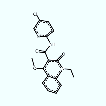 CCn1c(=O)c(C(=O)Nc2ccc(Cl)cn2)c(OC)c2ccccc21